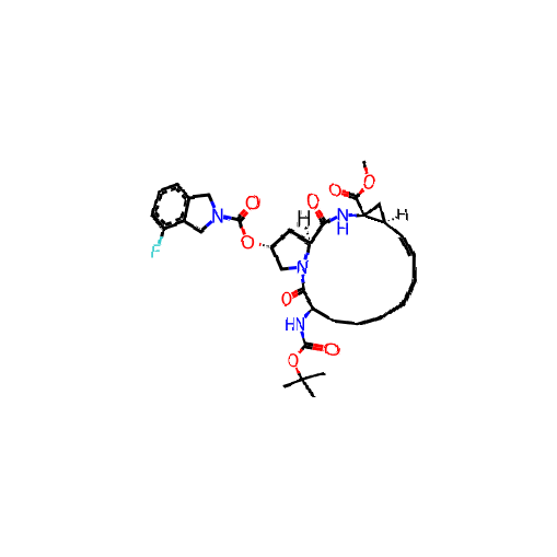 COC(=O)C12C[C@H]1/C=C\CCCCC[C@@H](NC(=O)OC(C)(C)C)C(=O)N1C[C@H](OC(=O)N3Cc4cccc(F)c4C3)C[C@H]1C(=O)N2